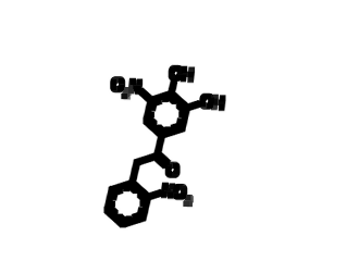 O=C(Cc1ccccc1[N+](=O)[O-])c1cc(O)c(O)c([N+](=O)[O-])c1